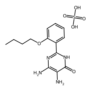 CCCCOc1ccccc1-c1nc(N)c(N)c(=O)[nH]1.O=S(=O)(O)O